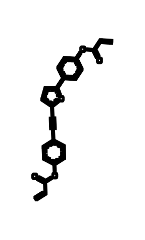 C=CC(=O)Oc1ccc(C#Cc2ccc(-c3ccc(OC(=O)C=C)cc3)o2)cc1